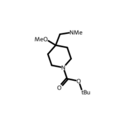 CNCC1(OC)CCN(C(=O)OC(C)(C)C)CC1